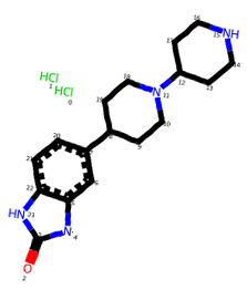 Cl.Cl.O=C1[N]c2cc(C3CCN(C4CCNCC4)CC3)ccc2N1